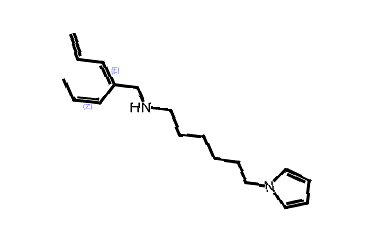 C=C/C=C(\C=C/C)CNCCCCCCn1cccc1